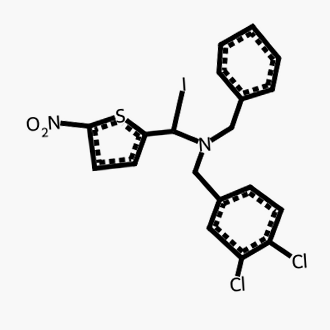 O=[N+]([O-])c1ccc(C(I)N(Cc2ccccc2)Cc2ccc(Cl)c(Cl)c2)s1